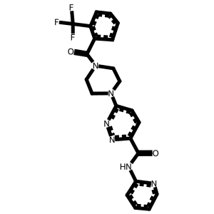 O=C(Nc1ccccn1)c1ccc(N2CCN(C(=O)c3ccccc3C(F)(F)F)CC2)nn1